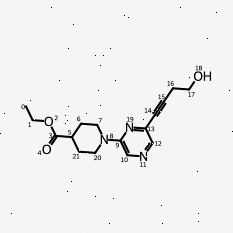 CCOC(=O)C1CCN(c2cncc(C#CCCO)n2)CC1